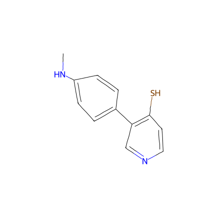 CNc1ccc(-c2cnccc2S)cc1